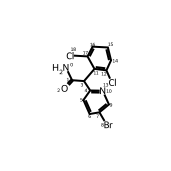 NC(=O)C(c1ccc(Br)cn1)c1c(Cl)cccc1Cl